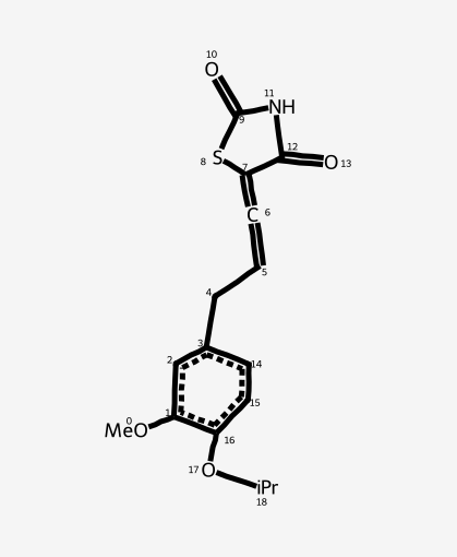 COc1cc(CC=C=C2SC(=O)NC2=O)ccc1OC(C)C